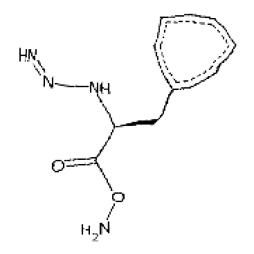 N=NN[C@@H](Cc1ccccc1)C(=O)ON